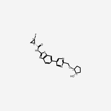 O=C(Nc1nc2ccc(-c3cnc(CO[C@H]4CCC[C@@H]4O)nc3)cc2s1)[C@@H]1C[C@H]1F